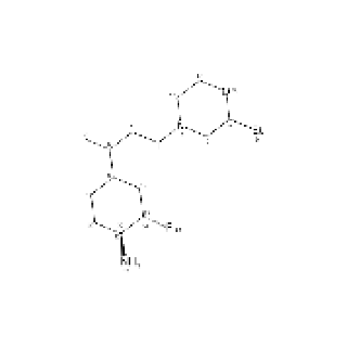 CCC1CN(CCC(C)C2CC[C@H](N)[C@@H](F)C2)CCO1